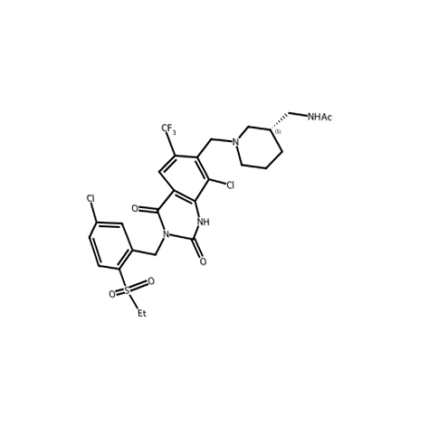 CCS(=O)(=O)c1ccc(Cl)cc1Cn1c(=O)[nH]c2c(Cl)c(CN3CCC[C@@H](CNC(C)=O)C3)c(C(F)(F)F)cc2c1=O